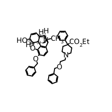 CCOC(=O)C1(c2ccccc2)CCN(CCOCc2ccccc2)CC1.CN1CC[C@]23c4c5ccc(OCc6ccccc6)c4O[C@H]2[C@@H](O)C=C[C@H]3[C@H]1C5